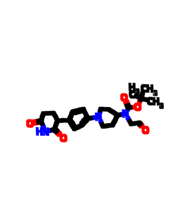 CC(C)(C)OC(=O)N(CC=O)C1CCN(c2ccc(C3CCC(=O)NC3=O)cc2)CC1